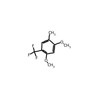 COc1cc(OC)c(C(F)(F)F)cc1C